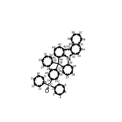 O=P(c1ccccc1)(c1ccccc1)c1ccc(C2(c3ccccc3)c3ccccc3-n3c4ccc5ccccc5c4c4cccc2c43)cc1